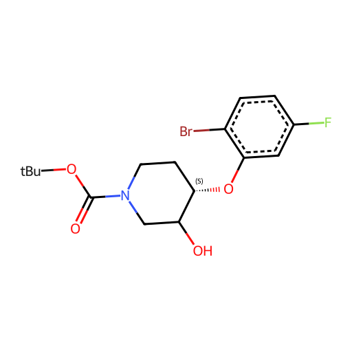 CC(C)(C)OC(=O)N1CC[C@H](Oc2cc(F)ccc2Br)C(O)C1